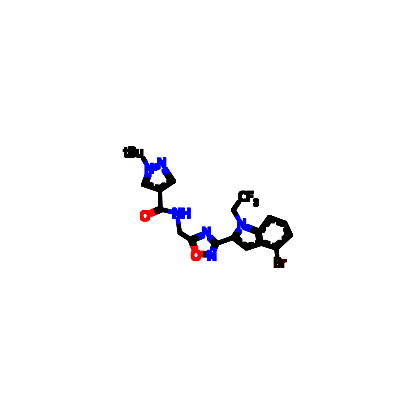 CC(C)(C)n1cc(C(=O)NCc2nc(-c3cc4c(Br)cccc4n3CC(F)(F)F)no2)cn1